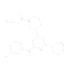 CC(C)(C)OC(=O)N1CCCC(c2cc(Nc3cccc(F)c3)nc(-c3cccnc3)c2)C1